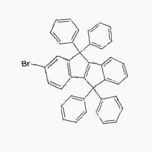 Brc1ccc2c(c1)C(c1ccccc1)(c1ccccc1)C1=C2C(c2ccccc2)(c2ccccc2)c2ccccc21